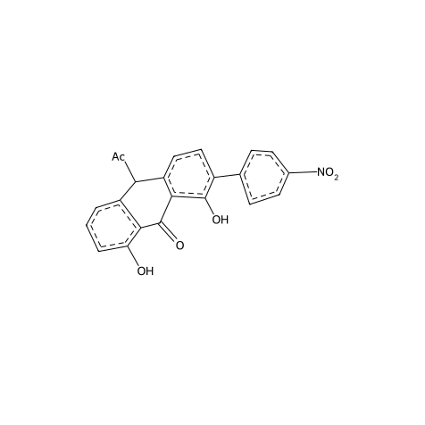 CC(=O)C1c2cccc(O)c2C(=O)c2c1ccc(-c1ccc([N+](=O)[O-])cc1)c2O